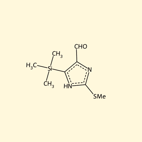 CSc1nc(C=O)c([Si](C)(C)C)[nH]1